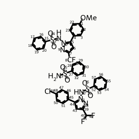 COc1ccc(-c2cc(C(F)(F)F)nn2NS(=O)(=O)c2ccccc2)cc1.NS(=O)(=O)c1ccccc1.O=S(=O)(Nn1nc(C(F)F)cc1-c1ccc(Cl)cc1)c1ccccc1